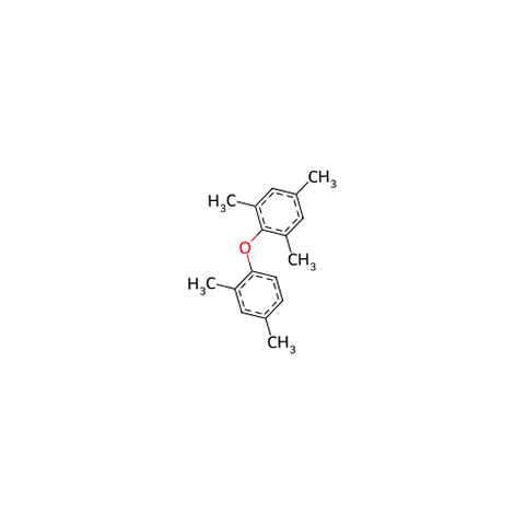 Cc1ccc(Oc2c(C)cc(C)cc2C)c(C)c1